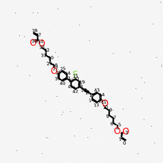 C=CC(=O)OCCCCCCOc1ccc(C#CC2=CC(F)C(c3ccc(OCCCCCCOC(=O)C=C)cc3)C=C2)cc1